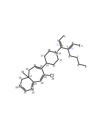 C/C=C(\C(=C\I)CCCC)N1CCC(C2=CCC3(C)CN=CN=C3C=C2Cl)CC1